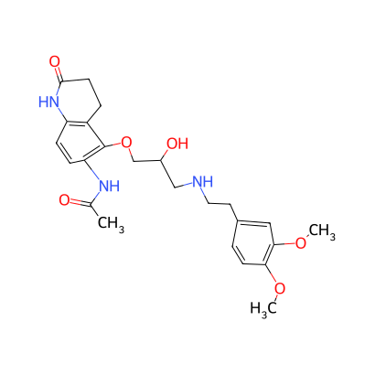 COc1ccc(CCNCC(O)COc2c(NC(C)=O)ccc3c2CCC(=O)N3)cc1OC